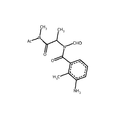 CC(=O)N(C)C(=O)C(C)N(C=O)C(=O)c1cccc(N)c1C